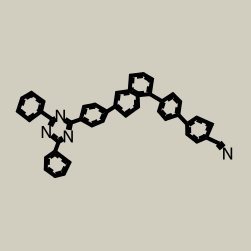 N#Cc1ccc(-c2ccc(-c3cccc4cc(-c5ccc(-c6nc(-c7ccccc7)nc(-c7ccccc7)n6)cc5)ccc34)cc2)cc1